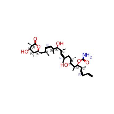 C=C/C=C\[C@H](C)[C@H](OC(N)=O)[C@@H](C)[C@H](O)[C@@H](C)C/C(C)=C\[C@H](C)[C@@H](O)[C@@H](C)/C=C\[C@@H](C)C[C@@H]1OC(=O)[C@H](C)[C@@H](O)[C@H]1C